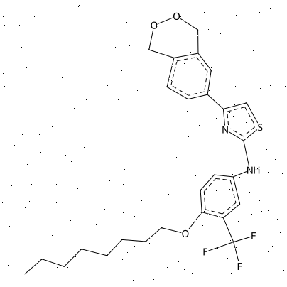 CCCCCCCCOc1ccc(Nc2nc(-c3ccc4c(c3)COOC4)cs2)cc1C(F)(F)F